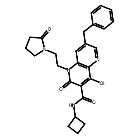 O=C(NC1CCC1)c1c(O)c2ncc(Cc3ccccc3)cc2n(CCN2CCCC2=O)c1=O